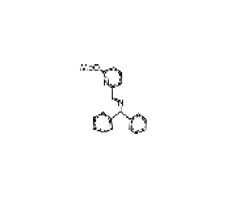 COc1cccc(/C=N/C(c2ccccc2)c2ccccc2)n1